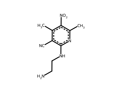 Cc1nc(NCCN)c(C#N)c(C)c1[N+](=O)[O-]